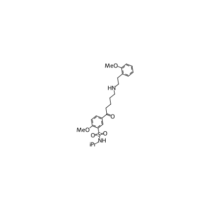 COc1ccccc1CCNCCCCC(=O)c1ccc(OC)c(S(=O)(=O)NC(C)C)c1